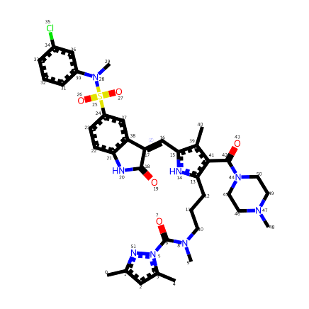 Cc1cc(C)n(C(=O)N(C)CCCc2[nH]c(/C=C3\C(=O)Nc4ccc(S(=O)(=O)N(C)c5cccc(Cl)c5)cc43)c(C)c2C(=O)N2CCN(C)CC2)n1